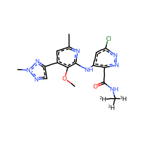 [2H]C([2H])([2H])NC(=O)c1nnc(Cl)cc1Nc1nc(C)cc(-c2cnn(C)n2)c1OC